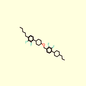 CCCCCc1ccc(C2CCC(OCc3ccc(C4CCC(CCC)CC4)c(F)c3F)CC2)c(F)c1F